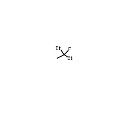 CCC(C)(F)CC